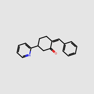 O=C1CC(c2ccccn2)CC/C1=C/c1ccccc1